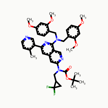 COc1ccc(CN(Cc2ccc(OC)cc2OC)c2nc(-c3cnccc3C)cc3cc(N(CC4CC4(F)F)C(=O)OC(C)(C)C)ncc23)c(OC)c1